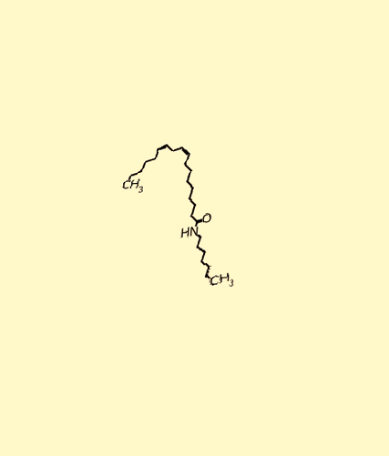 CCCCC/C=C\C/C=C\CCCCCCCC(=O)NCCCCCCC